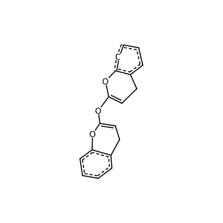 C1=C(OC2=CCc3ccccc3O2)Oc2ccccc2C1